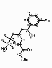 CC(C)(C)OC(=O)NC[C@@H](CC(O)c1cncc(F)c1)CC(C)(C)[Si](C)(C)O